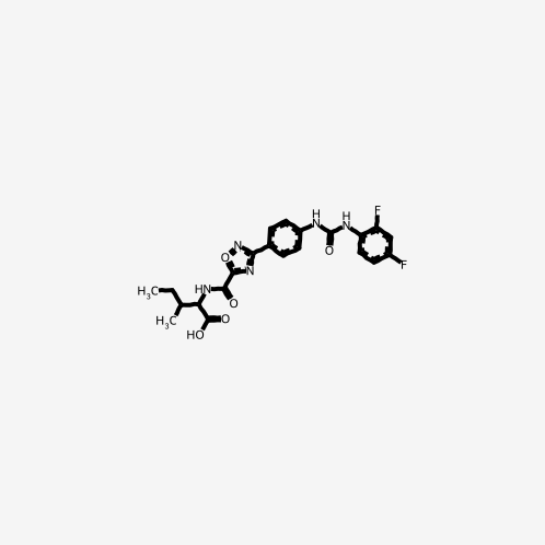 CCC(C)C(NC(=O)c1nc(-c2ccc(NC(=O)Nc3ccc(F)cc3F)cc2)no1)C(=O)O